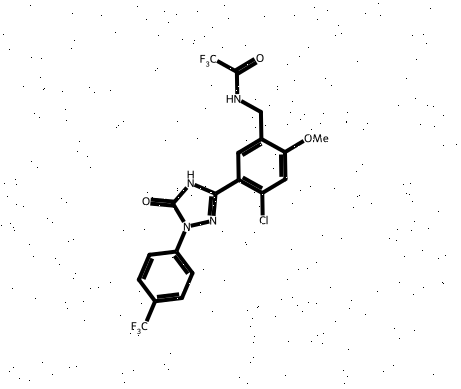 COc1cc(Cl)c(-c2nn(-c3ccc(C(F)(F)F)cc3)c(=O)[nH]2)cc1CNC(=O)C(F)(F)F